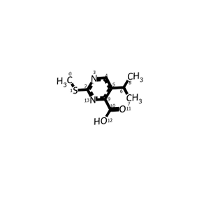 CSc1ncc(C(C)C)c(C(=O)O)n1